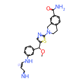 COC(c1cccc(N/C=C\C=N)c1)c1cnc(N2CCc3ccc(C(N)=O)cc3C2)s1